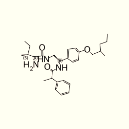 CCCC(C)COc1ccc([C@H](CNC(=O)[C@H](N)[C@@H](C)CC)NC(=O)C(C)c2ccccc2)cc1